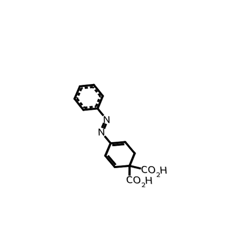 O=C(O)C1(C(=O)O)C=CC(N=Nc2ccccc2)=CC1